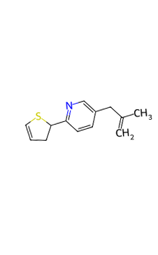 C=C(C)Cc1ccc(C2CC=CS2)nc1